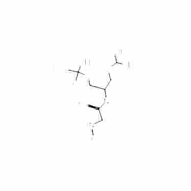 CNCC(=O)NC(COC(C)C)COC(C)(C)C